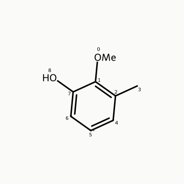 COc1c(C)c[c]cc1O